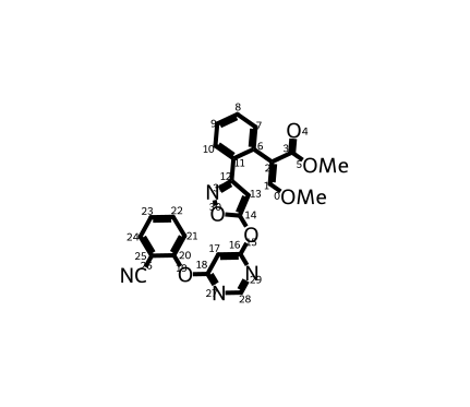 CO/C=C(\C(=O)OC)c1ccccc1-c1cc(Oc2cc(Oc3ccccc3C#N)ncn2)on1